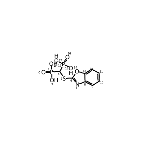 O=P(O)(O)C(Sc1nc2ccccc2o1)P(=O)(O)O